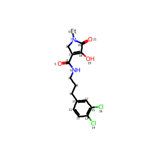 CCN1CC(C(=O)NCCCc2ccc(Cl)c(Cl)c2)=C(O)C1=O